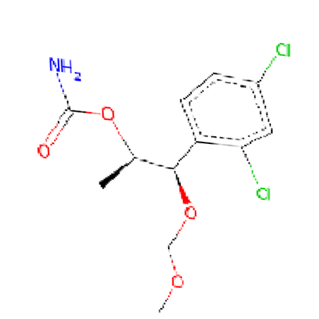 COCO[C@H](c1ccc(Cl)cc1Cl)[C@@H](C)OC(N)=O